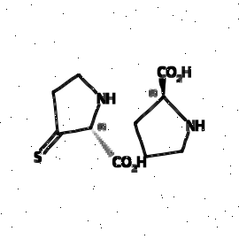 O=C(O)[C@@H]1CCCN1.O=C(O)[C@H]1NCCC1=S